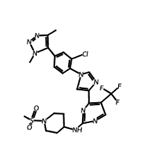 Cc1nnn(C)c1-c1ccc(-n2cnc(-c3nc(NC4CCN(S(C)(=O)=O)CC4)ncc3C(F)(F)F)c2)c(Cl)c1